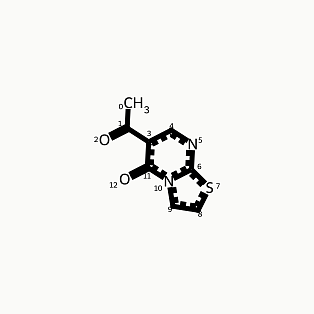 CC(=O)c1cnc2sccn2c1=O